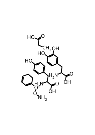 CCC(=O)O.NC(Cc1ccc(O)c(O)c1)C(=O)O.NC(Cc1ccc(O)cc1)C(=O)O.NOOC1=CC=CCC1